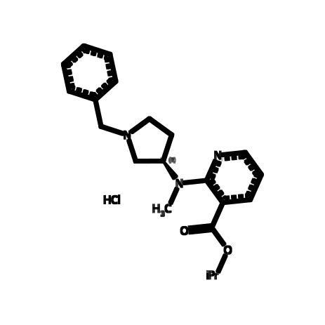 CC(C)OC(=O)c1cccnc1N(C)[C@@H]1CCN(Cc2ccccc2)C1.Cl